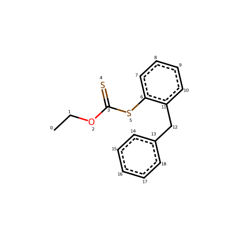 CCOC(=S)Sc1ccccc1Cc1ccccc1